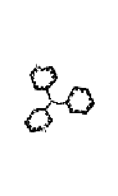 c1ccc(N(c2ccncc2)c2cccnc2)cc1